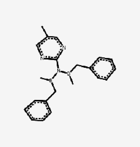 CB(Cc1ccccc1)N(B(C)Cc1ccccc1)c1ncc(C)cn1